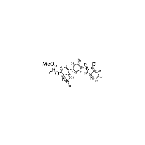 COC[C@H](C)Oc1ccc(-c2ccc(CN3Cc4ncccc4C3=O)c(F)c2)c2cn(C)nc12